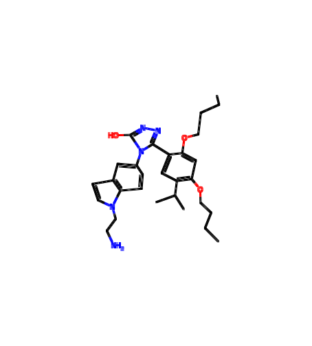 CCCCOc1cc(OCCCC)c(C(C)C)cc1-c1nnc(O)n1-c1ccc2c(ccn2CCN)c1